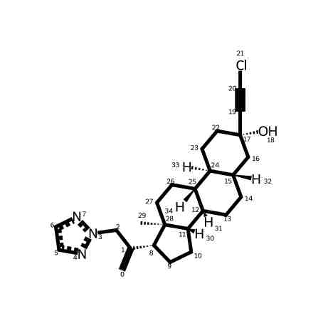 C=C(Cn1nccn1)[C@H]1CC[C@H]2[C@@H]3CC[C@H]4C[C@](O)(C#CCl)CC[C@@H]4[C@H]3CC[C@]12C